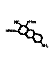 CCCCCCc1cc2cc3cc(N)ccc3cc2c(CCCCCC)c1C#N